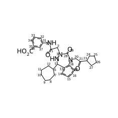 O=C(CN1NC(C2CCCCCC2)c2ccccc2N(CC(=O)C2CCCC2)C1=O)Nc1cccc(C(=O)O)c1